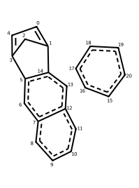 C1=C2CC(=C1)c1cc3ccccc3cc12.c1ccccc1